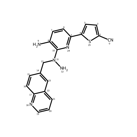 N#Cc1ccc(-c2ccc(N)c(N(N)Cc3ccc4ncccc4c3)n2)s1